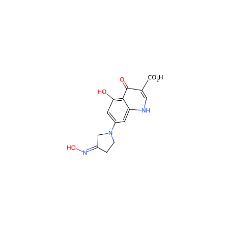 O=C(O)c1c[nH]c2cc(N3CCC(=NO)C3)cc(O)c2c1=O